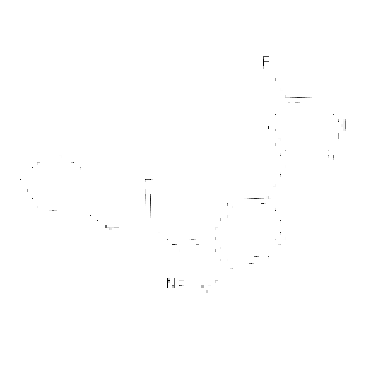 O=C(NC1CCCC1)c1n[nH]c2ccc(-c3cncc(F)c3)cc12